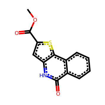 COC(=O)c1cc2[nH]c(=O)c3ccccc3c2s1